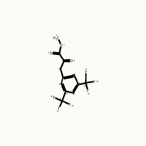 COC(=O)C(=O)Cc1cc(C(F)(F)F)cc(C(F)(F)F)c1